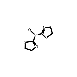 [O-][S+](C1=NCCS1)C1=NCCS1